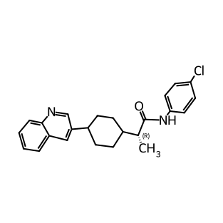 C[C@@H](C(=O)Nc1ccc(Cl)cc1)C1CCC(c2cnc3ccccc3c2)CC1